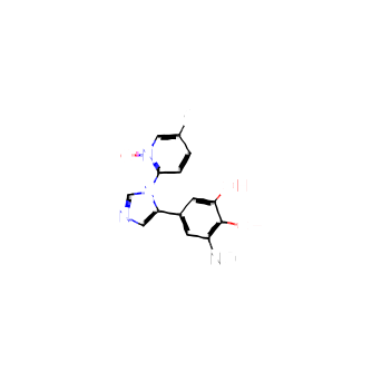 O=[N+]([O-])c1cc(-c2cncn2-c2ccc(C(F)(F)F)c[n+]2[O-])cc(O)c1O